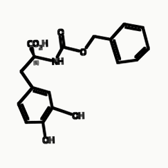 O=C(N[C@@H](Cc1ccc(O)c(O)c1)C(=O)O)OCc1ccccc1